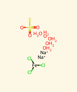 O.O.O.O.O.O=S(=O)([O-])[S-].[Cl][Fe]([Cl])[Cl].[Na+].[Na+]